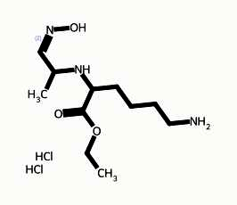 CCOC(=O)C(CCCCN)NC(C)/C=N\O.Cl.Cl